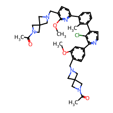 COc1cc(-c2nccc(-c3cccc(-c4ccc(CN5CC6(C5)CN(C(C)=O)C6)c(OC)n4)c3C)c2Cl)ccc1CN1CC2(C1)CN(C(C)=O)C2